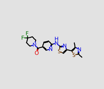 Cc1nc(C)c(-c2csc(Nc3ccc(C(=O)N4CCC(F)(F)CC4)cn3)n2)s1